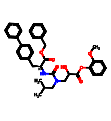 COc1ccccc1OC(=O)C(O)CN(CC(C)C)C(=O)N[C@@H](Cc1ccc(-c2ccccc2)cc1)C(=O)OCc1ccccc1